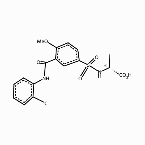 COc1ccc(S(=O)(=O)N[C@H](C)C(=O)O)cc1C(=O)Nc1ccccc1Cl